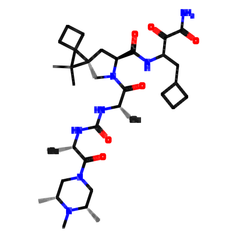 C[C@@H]1CN(C(=O)[C@@H](NC(=O)N[C@H](C(=O)N2C[C@]3(C[C@H]2C(=O)NC(CC2CCC2)C(=O)C(N)=O)C(C)(C)C32CCC2)C(C)(C)C)C(C)(C)C)C[C@H](C)N1C